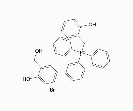 OCc1ccccc1O.Oc1ccccc1C[P+](c1ccccc1)(c1ccccc1)c1ccccc1.[Br-]